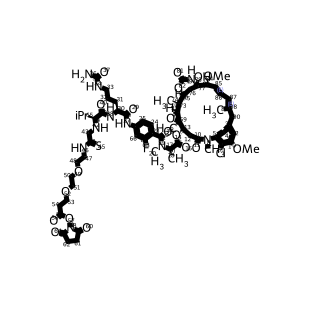 COc1cc2cc(c1Cl)N(C)C(=O)C[C@H](OC(=O)[C@H](C)N(C)C(=O)c1ccc(NC(=O)[C@H](CCCNC(N)=O)NC(=O)[C@@H](NCC(=S)NCCOCCOCCC(=O)ON3C(=O)CCC3=O)C(C)C)cc1F)[C@]1(C)O[C@H]1[C@H](C)[C@@H]1C[C@@](O)(NC(=O)O1)[C@H](OC)/C=C/C=C(\C)C2